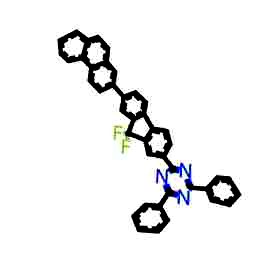 FC1(F)c2cc(-c3ccc4c(ccc5ccccc54)c3)ccc2-c2ccc(-c3nc(-c4ccccc4)nc(-c4ccccc4)n3)cc21